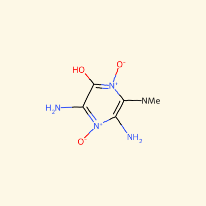 CNc1c(N)[n+]([O-])c(N)c(O)[n+]1[O-]